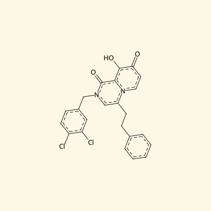 O=c1ccn2c(CCc3ccccc3)cn(Cc3ccc(Cl)c(Cl)c3)c(=O)c2c1O